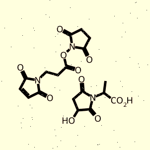 CC(C(=O)O)N1C(=O)CC(O)C1=O.O=C(CCN1C(=O)C=CC1=O)ON1C(=O)CCC1=O